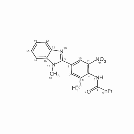 CCCC(=O)Nc1c(C)cc(-c2nc3ccccc3n2C)cc1[N+](=O)[O-]